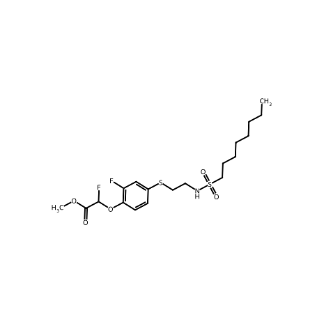 CCCCCCCCS(=O)(=O)NCCSc1ccc(OC(F)C(=O)OC)c(F)c1